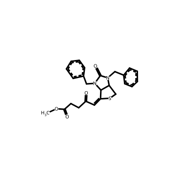 COC(=O)CCC(=O)C=C1SCC2C1N(Cc1ccccc1)C(=O)N2Cc1ccccc1